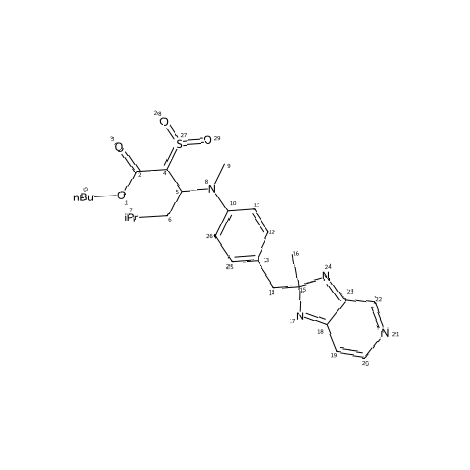 CCCCOC(=O)C(C(CC(C)C)N(C)c1ccc(CC2(C)N=c3ccncc3=N2)cc1)=S(=O)=O